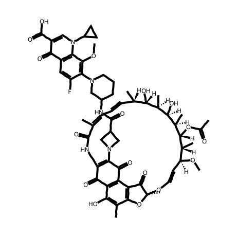 COc1c(N2CCCC(NC(=O)C3CN(C4=C5NC(=O)/C(C)=C\C=C\[C@H](C)[C@H](O)[C@@H](C)[C@@H](O)[C@@H](C)[C@H](OC(C)=O)[C@H](C)[C@@H](OC)/C=C/O[C@@]6(C)Oc7c(C)c(O)c(c(c7C6=O)C4=O)C5=O)C3)C2)c(F)cc2c(=O)c(C(=O)O)cn(C3CC3)c12